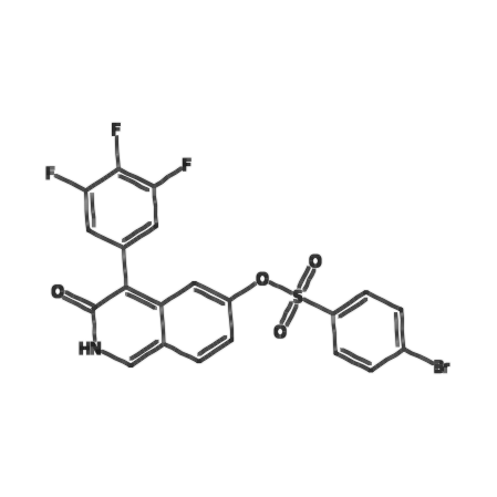 O=c1[nH]cc2ccc(OS(=O)(=O)c3ccc(Br)cc3)cc2c1-c1cc(F)c(F)c(F)c1